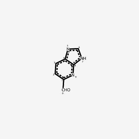 O=Cc1ccc2nc[nH]c2n1